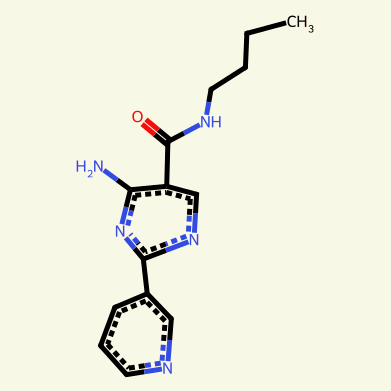 CCCCNC(=O)c1cnc(-c2cccnc2)nc1N